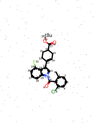 Cc1cccc(Cl)c1C(=O)n1cc(C2=CCC(C(=O)OC(C)(C)C)CC2)c2c(F)cccc21